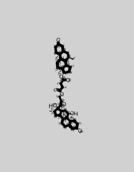 C[C@@H]1CC2=CC(=O)CC[C@]2(C)C2CC[C@@]3(C)C(CC[C@@H]3OC(=O)CCC(=O)OCC3OC3[C@@]3(O)[C@@H](C)CC4C5CCC6=CC(=O)C=C[C@]6(C)[C@@]5(F)[C@@H](O)C[C@@]43C)C21